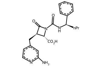 CCC[C@@H](NC(=O)N1C(=O)[C@H](Cc2ccnc(N)c2)[C@H]1C(=O)O)c1ccccc1